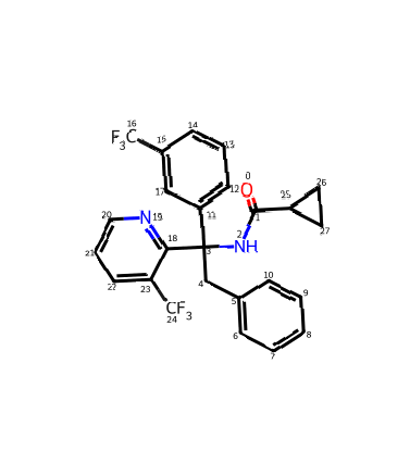 O=C(NC(Cc1ccccc1)(c1cccc(C(F)(F)F)c1)c1ncccc1C(F)(F)F)C1CC1